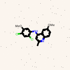 COc1ccc2nc(C)cc(Nc3cc(OC)c(Cl)cc3Cl)c2c1